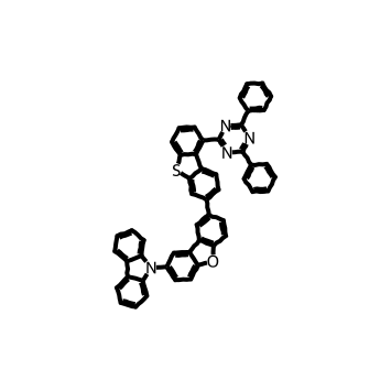 c1ccc(-c2nc(-c3ccccc3)nc(-c3cccc4sc5cc(-c6ccc7oc8ccc(-n9c%10ccccc%10c%10ccccc%109)cc8c7c6)ccc5c34)n2)cc1